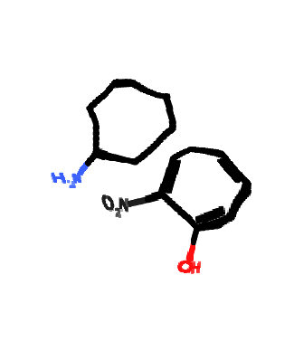 NC1CCCCC1.O=[N+]([O-])c1ccccc1O